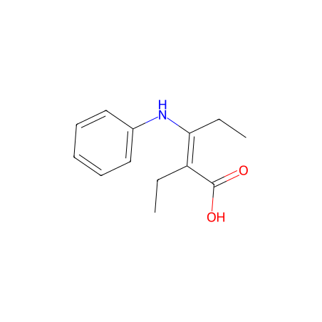 CCC(Nc1ccccc1)=C(CC)C(=O)O